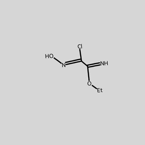 CCOC(=N)/C(Cl)=N/O